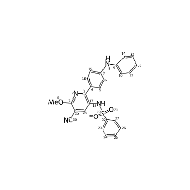 COc1nc(-c2ccc(Nc3ccccc3)cc2)c(NS(=O)(=O)c2ccccc2)cc1C#N